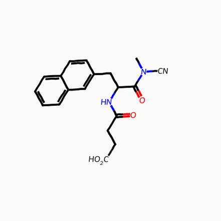 CN(C#N)C(=O)C(Cc1ccc2ccccc2c1)NC(=O)CCC(=O)O